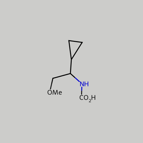 COCC(NC(=O)O)C1CC1